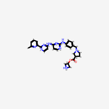 Cc1cccc(-c2nccc(Nc3ccnc(Nc4ccc(CN5CCC(C(=O)OC6CNC6)C5)cc4)n3)n2)n1